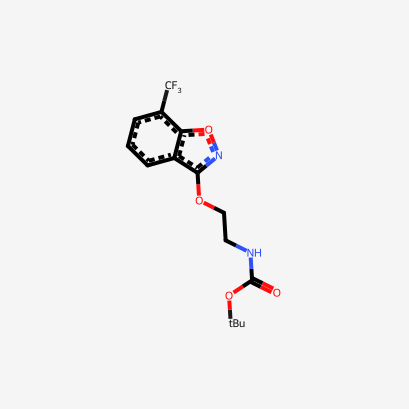 CC(C)(C)OC(=O)NCCOc1noc2c(C(F)(F)F)cccc12